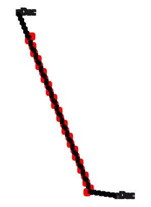 CCCCCCCCCCCCCCCCCCCCCC(=O)OCCOCCOCCOCCOCCOCCOCCOCCOCCOCCOCCOCCOCCOCCOCCOCCOCCOCCOCCOCCOCCOCCOCCOC(=O)CCCCCCCCCCCCCCCCCCCCC